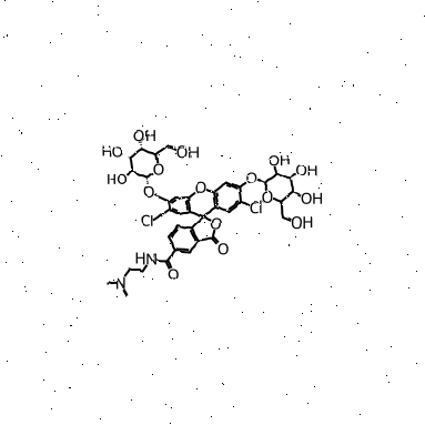 CN(C)CCNC(=O)c1ccc2c(c1)C(=O)OC21c2cc(Cl)c(O[C@@H]3OC(CO)[C@H](O)[C@H](O)C3O)cc2Oc2cc(O[C@H]3OC(CO)[C@@H](O)[C@@H](O)C3O)c(Cl)cc21